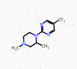 CC1CN(C)CCN1c1ncc(C(F)(F)F)cn1